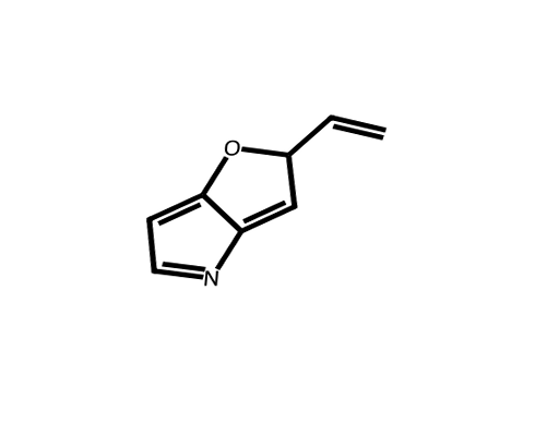 C=CC1C=C2N=CC=C2O1